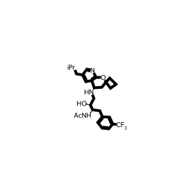 CC(=O)N[C@@H](Cc1cccc(C(F)(F)F)c1)[C@H](O)CN[C@H]1CC2(CCC2)Oc2ncc(CC(C)C)cc21